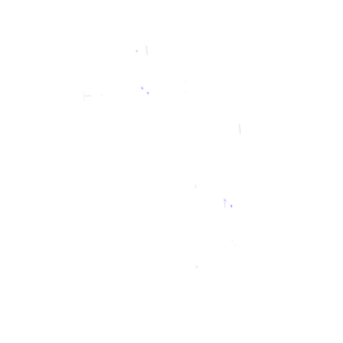 C[N+](C)(C)CCONC(=O)C(F)(F)F.[Cl-]